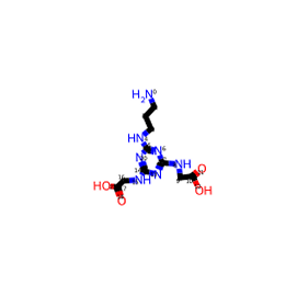 NCCCNc1nc(NCC(=O)O)nc(NCC(=O)O)n1